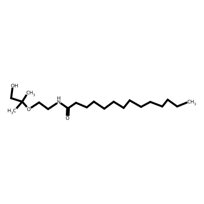 CCCCCCCCCCCCCC(=O)NCCOC(C)(C)CO